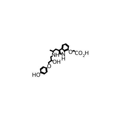 CC(Cc1c[nH]c2c(OCC(=O)O)cccc12)NCC(O)COc1ccc(O)cc1